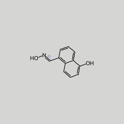 O/N=C/c1cccc2c(O)cccc12